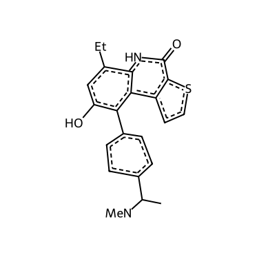 CCc1cc(O)c(-c2ccc(C(C)NC)cc2)c2c1[nH]c(=O)c1sccc12